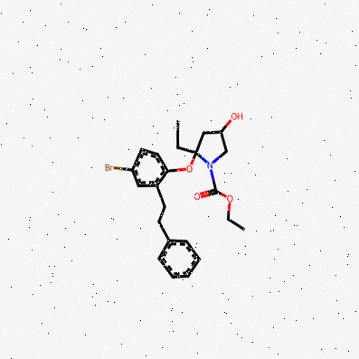 CCOC(=O)N1CC(O)CC1(CC)Oc1ccc(Br)cc1CCc1ccccc1